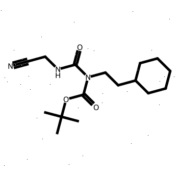 CC(C)(C)OC(=O)N(CCC1CCCCC1)C(=O)NCC#N